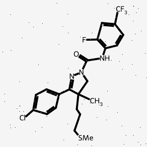 CSCCCC1(C)CN(C(=O)Nc2ccc(C(F)(F)F)cc2F)N=C1c1ccc(Cl)cc1